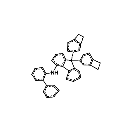 c1ccc(-c2ccccc2Nc2cccc3c2-c2ccccc2C3(c2ccc3c(c2)CC3)c2ccc3c(c2)CC3)cc1